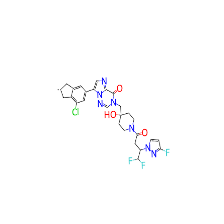 O=C(CC(C(F)F)n1ccc(F)n1)N1CCC(O)(Cn2cnn3c(-c4cc(Cl)c5c(c4)C[CH]C5)cnc3c2=O)CC1